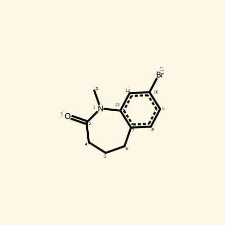 CN1C(=O)CCCc2ccc(Br)cc21